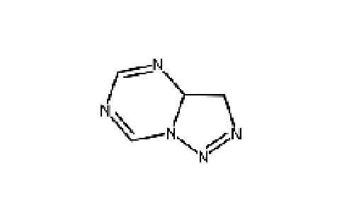 C1=NC=NC2CN=NN12